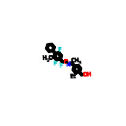 CCc1cc(C(C)=NOC(F)c2cc(F)c(C3CCCCC3)c(C)c2F)ccc1CO